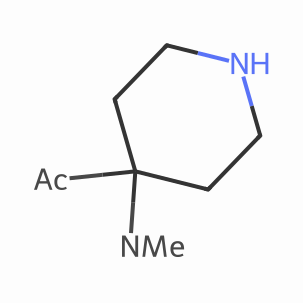 CNC1(C(C)=O)CCNCC1